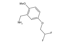 COc1ccc(OCC(F)F)cc1CN